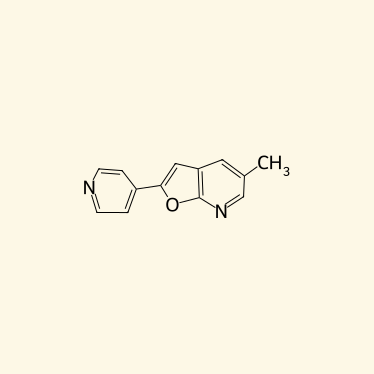 Cc1cnc2oc(-c3ccncc3)cc2c1